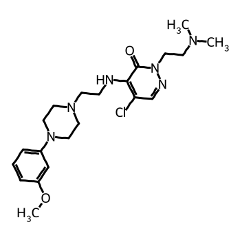 COc1cccc(N2CCN(CCNc3c(Cl)cnn(CCN(C)C)c3=O)CC2)c1